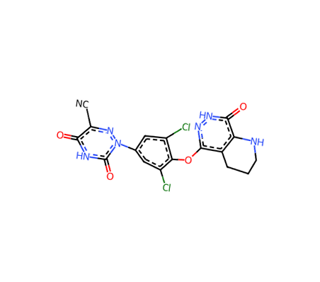 N#Cc1nn(-c2cc(Cl)c(Oc3n[nH]c(=O)c4c3CCCN4)c(Cl)c2)c(=O)[nH]c1=O